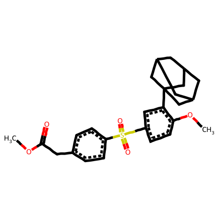 COC(=O)Cc1ccc(S(=O)(=O)c2ccc(OC)c(C34CC5CC(CC(C5)C3)C4)c2)cc1